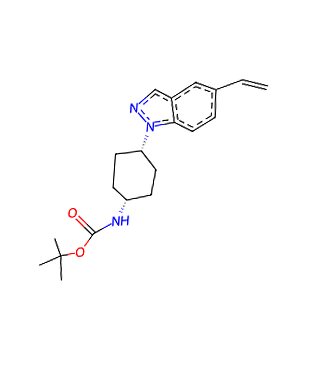 C=Cc1ccc2c(cnn2[C@H]2CC[C@@H](NC(=O)OC(C)(C)C)CC2)c1